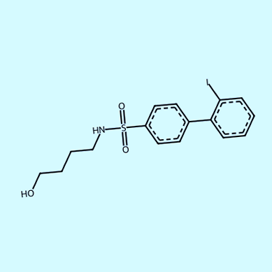 O=S(=O)(NCCCCO)c1ccc(-c2ccccc2I)cc1